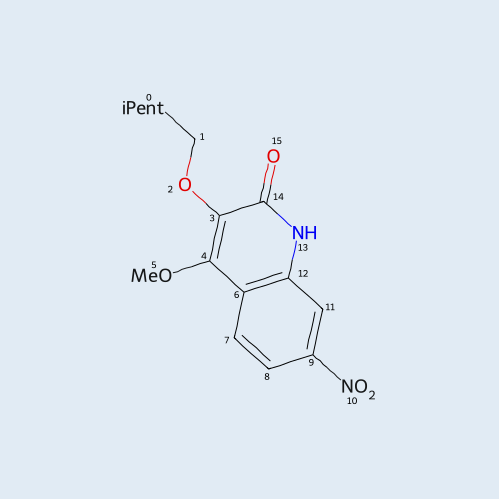 CCCC(C)COc1c(OC)c2ccc([N+](=O)[O-])cc2[nH]c1=O